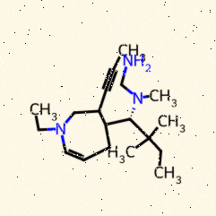 CC#CC1CN(CC)C=CCC1[C@H](N(C)CN)C(C)(C)CC